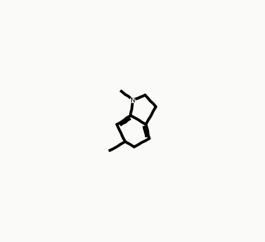 CC1C=C2C(=CC1)CCN2C